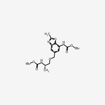 Cc1nc2cc(COC[C@@H](C)NC(=O)OC(C)(C)C)cc(NC(=O)OC(C)(C)C)c2o1